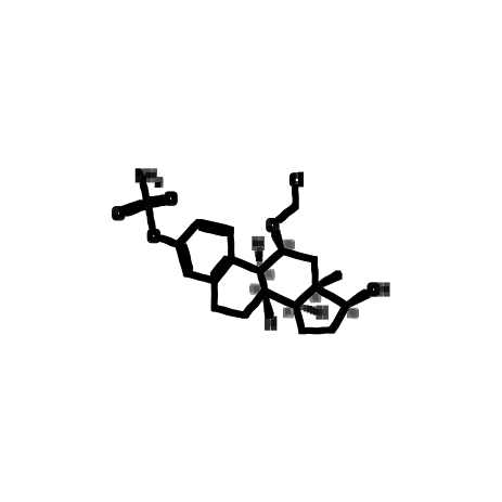 C[C@]12C[C@H](OCCl)[C@@H]3c4ccc(OS(N)(=O)=O)cc4CC[C@H]3[C@@H]1CC[C@@H]2O